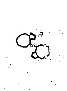 C1=CC2CCCCCCC[CH]([Zr+2][CH]3CCCCCCCC4C=CC=C43)C2=C1.[Cl-].[Cl-]